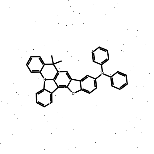 CC1(C)c2ccccc2-n2c3ccccc3c3c4oc5ccc(N(c6ccccc6)c6ccccc6)cc5c4cc1c32